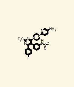 Nc1ccc(N2CCN(c3nc(C(F)(F)F)nc(-c4ccc(F)cc4)c3-c3cccc(N[SH](=O)=O)c3)CC2)nc1